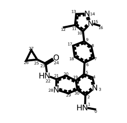 CNc1ncc(-c2ccc(-c3c(C)cnn3C)cc2)c2cc(NC(=O)C3CC3)ncc12